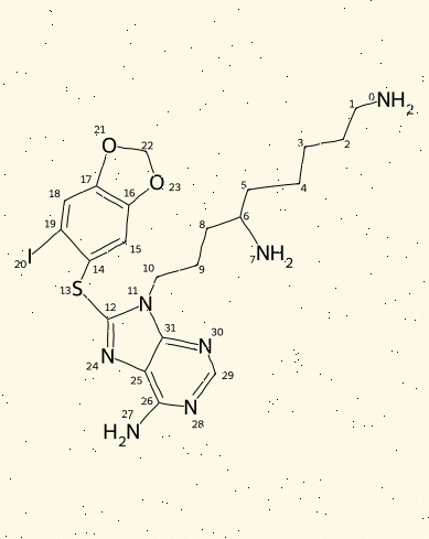 NCCCCCC(N)CCCn1c(Sc2cc3c(cc2I)OCO3)nc2c(N)ncnc21